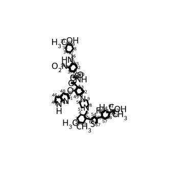 CC1(C)CCC(CN2CCN(c3ccc(C(=O)NS(=O)(=O)c4ccc(NC[C@H]5CC[C@](C)(O)CC5)c([N+](=O)[O-])c4)c(Oc4cnc5[nH]ccc5c4)c3)CC2)=C(c2cc(-c3ccc(C(C)(C)O)cc3F)cs2)C1